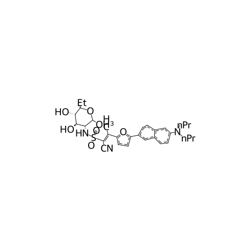 CCCN(CCC)c1ccc2cc(-c3ccc(/C(C)=C(\C#N)S(=O)(=O)N[C@H]4C(O)O[C@H](CC)[C@@H](O)[C@@H]4O)o3)ccc2c1